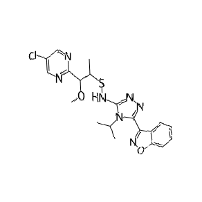 COC(c1ncc(Cl)cn1)C(C)SNc1nnc(-c2noc3ccccc23)n1C(C)C